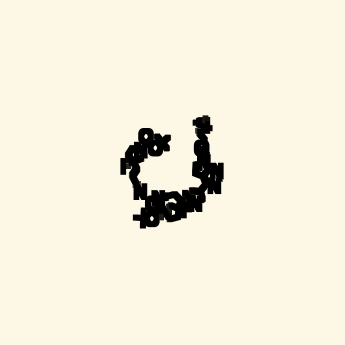 CC(C)(C)OC(=O)N1CCC(F)(C(CC#N)n2cc(-c3ncnc4c3ccn4COCC[Si](C)(C)C)cn2)C1.CC(C)(C)OC(=O)N1CCC(F)(C=CC#N)C1